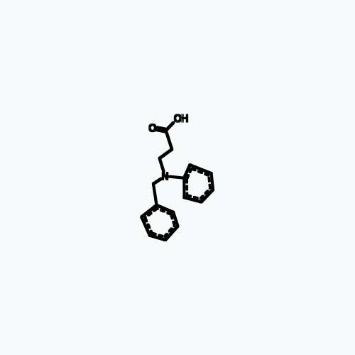 O=C(O)CCN(Cc1ccccc1)c1ccccc1